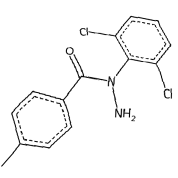 Cc1ccc(C(=O)N(N)c2c(Cl)cccc2Cl)cc1